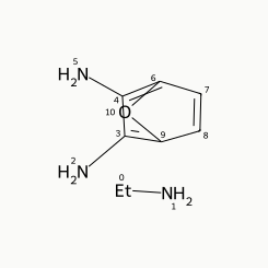 CCN.Nc1c(N)c2ccc1o2